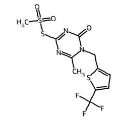 Cc1nc(SS(C)(=O)=O)nc(=O)n1Cc1ccc(C(F)(F)F)s1